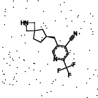 N#Cc1cc(C(F)(F)F)ncc1C[C@H]1CCC2(CNC2)C1